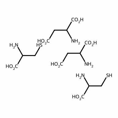 NC(CC(=O)O)C(=O)O.NC(CC(=O)O)C(=O)O.NC(CS)C(=O)O.NC(CS)C(=O)O